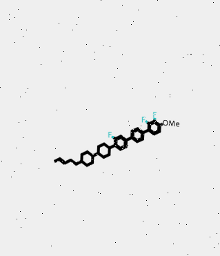 C/C=C/CCC1CCC(C2CCC(c3ccc(-c4ccc(-c5ccc(OC)c(F)c5F)cc4)cc3F)CC2)CC1